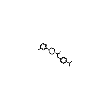 Cc1ccnc(N2CCN(C(=O)Cc3ccc(C(C)C)cc3)CC2)n1